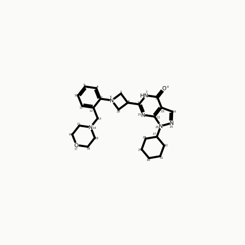 O=c1[nH]c(C2CN(c3ccccc3CN3CCOCC3)C2)nc2c1cnn2C1CCCCC1